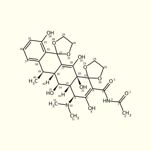 CC(=O)NC(=O)C1=C(O)[C@@H](N(C)C)[C@@H]2[C@@H](O)[C@H]3C(=C(O)[C@]2(O)C12OCCO2)C1(OCCO1)c1c(O)cccc1[C@@H]3C